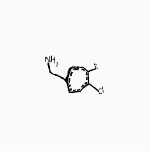 NCc1[c]c(F)c(Cl)cc1